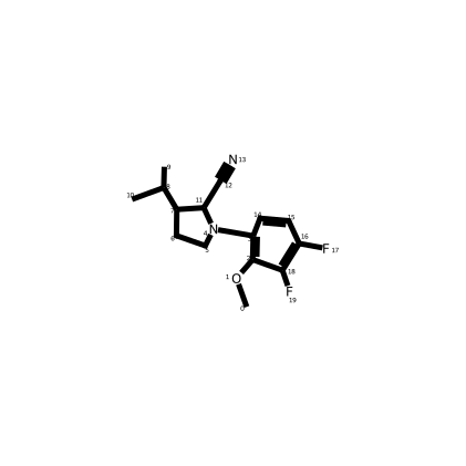 COc1c(N2CCC(C(C)C)C2C#N)ccc(F)c1F